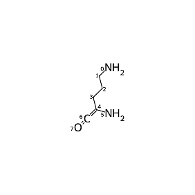 NCCCC(N)=C=O